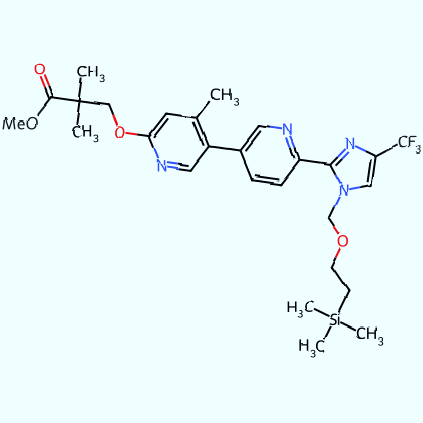 COC(=O)C(C)(C)COc1cc(C)c(-c2ccc(-c3nc(C(F)(F)F)cn3COCC[Si](C)(C)C)nc2)cn1